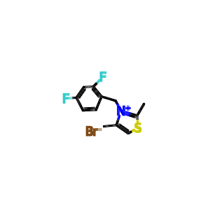 Cc1csc(C)[n+]1Cc1ccc(F)cc1F.[Br-]